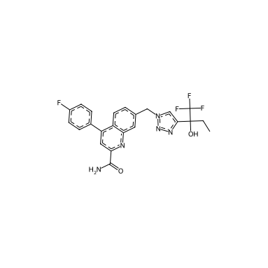 CCC(O)(c1cn(Cc2ccc3c(-c4ccc(F)cc4)cc(C(N)=O)nc3c2)nn1)C(F)(F)F